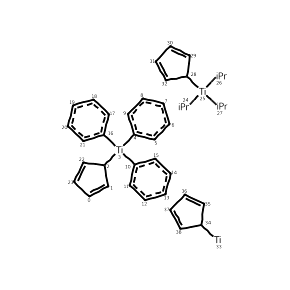 C1=C[CH]([Ti]([c]2ccccc2)([c]2ccccc2)[c]2ccccc2)C=C1.C[CH](C)[Ti]([CH](C)C)([CH](C)C)[CH]1C=CC=C1.[Ti][CH]1C=CC=C1